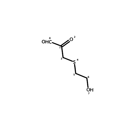 O=CC(=O)CSCCO